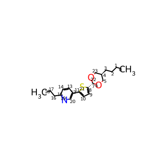 CCCC[C@H]1CO[C@H](c2ccc(-c3ccc(CCC)nc3)s2)OC1